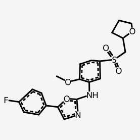 COc1ccc(S(=O)(=O)CC2CCCO2)cc1Nc1ncc(-c2ccc(F)cc2)o1